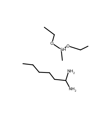 CCCCCC(N)N.CCO[SiH](C)OCC